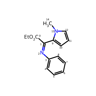 CCOC(=O)C(=Nc1ccccc1)c1cccn1C